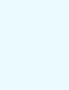 C#Cc1ccccc1.O=C(O)c1c2cc-2c(C(=O)O)c1C(=O)O